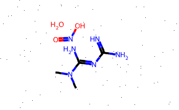 CN(C)/C(N)=N/C(=N)N.O.O=NO